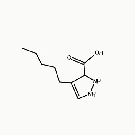 CCCCCC1=CNNC1C(=O)O